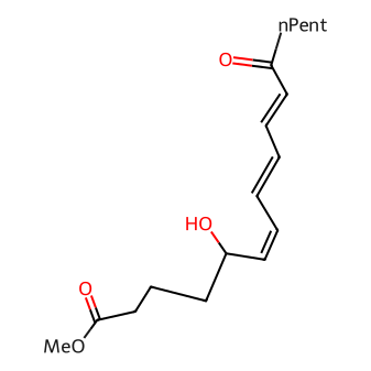 CCCCCC(=O)/C=C/C=C/C=C\C(O)CCCC(=O)OC